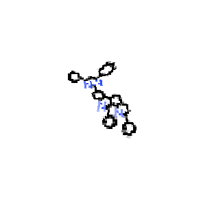 c1ccc(-c2cc(-c3ccccc3)nc(-c3ccc4nc(-c5ccccc5)c5c(ccc6ccc(-c7ccccc7)nc65)c4c3)n2)cc1